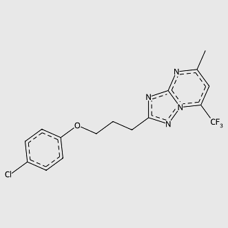 Cc1cc(C(F)(F)F)n2nc(CCCOc3ccc(Cl)cc3)nc2n1